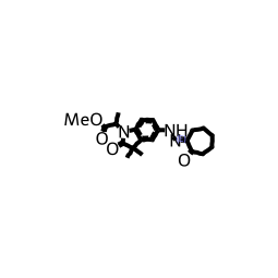 COC(=O)C(C)N1C(=O)C(C)(C)c2cc(N/N=C3\CCCCCC3=O)ccc21